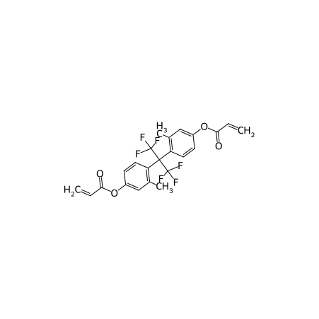 C=CC(=O)Oc1ccc(C(c2ccc(OC(=O)C=C)cc2C)(C(F)(F)F)C(F)(F)F)c(C)c1